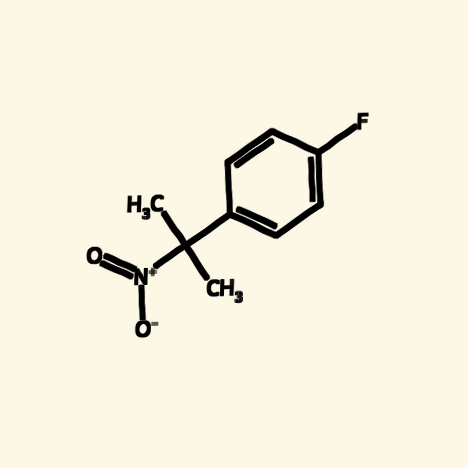 CC(C)(c1ccc(F)cc1)[N+](=O)[O-]